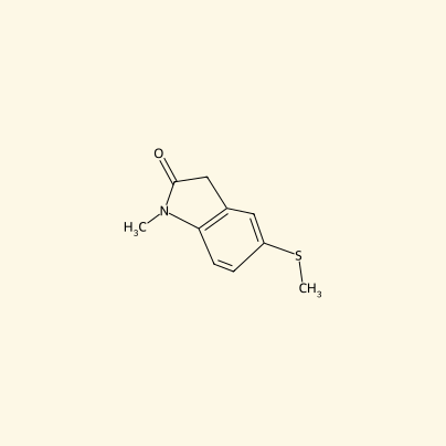 CSc1ccc2c(c1)CC(=O)N2C